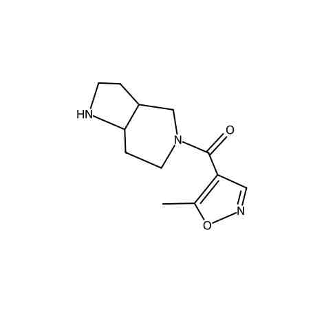 Cc1oncc1C(=O)N1CCC2NCCC2C1